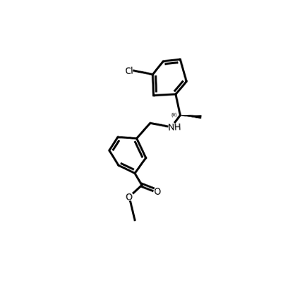 COC(=O)c1cccc(CN[C@H](C)c2cccc(Cl)c2)c1